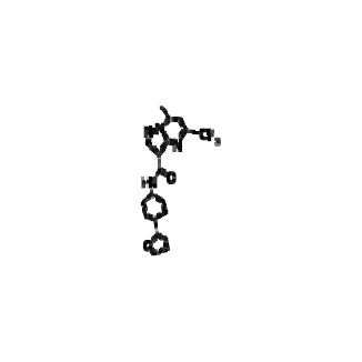 Cc1cc(C(F)(F)F)nc2c(C(=O)Nc3ccc(-c4ccco4)cc3)cnn12